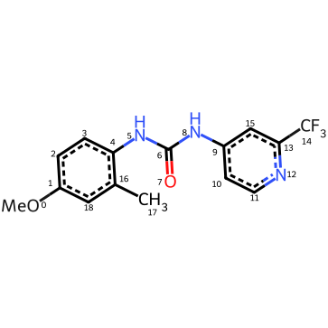 COc1ccc(NC(=O)Nc2ccnc(C(F)(F)F)c2)c(C)c1